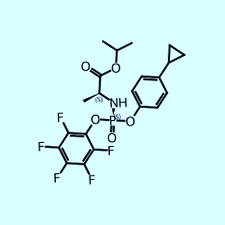 CC(C)OC(=O)[C@H](C)N[P@](=O)(Oc1ccc(C2CC2)cc1)Oc1c(F)c(F)c(F)c(F)c1F